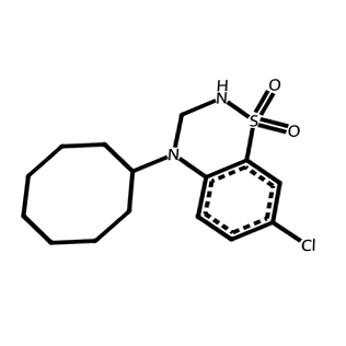 O=S1(=O)NCN(C2CCCCCCC2)c2ccc(Cl)cc21